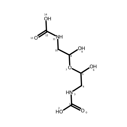 O=C(O)NCC(O)OC(O)CNC(=O)O